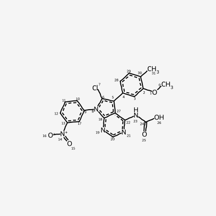 COc1cc(-c2c(Cl)n(-c3cccc([N+](=O)[O-])c3)c3ncnc(NC(=O)O)c23)ccc1C